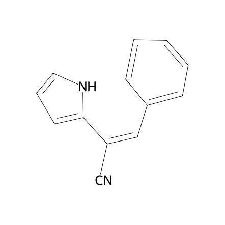 N#CC(=Cc1ccccc1)c1ccc[nH]1